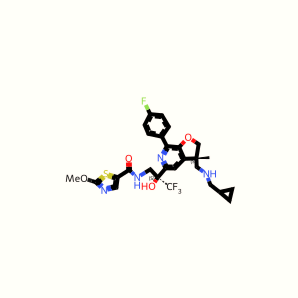 COc1ncc(C(=O)NC[C@](O)(c2cc3c(c(-c4ccc(F)cc4)n2)OC[C@]3(C)CNCC2CC2)C(F)(F)F)s1